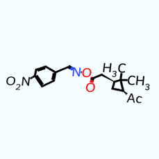 CC(=O)[C@H]1C[C@@H](CC(=O)ON=Cc2ccc([N+](=O)[O-])cc2)C1(C)C